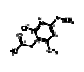 CSc1nc(C)c(CC(=O)O)c(Cl)n1